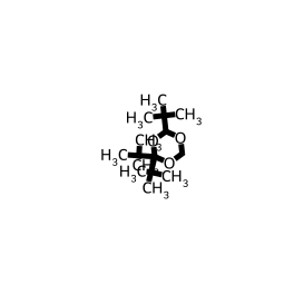 CC(C)(C)C1OCOC(C(C)(C)C)(C(C)(C)C)O1